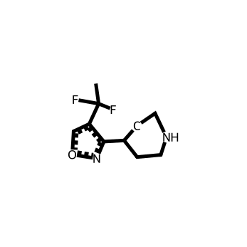 CC(F)(F)c1conc1C1CCNCC1